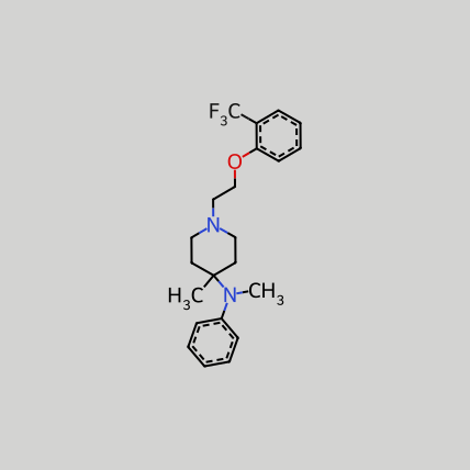 CN(c1ccccc1)C1(C)CCN(CCOc2ccccc2C(F)(F)F)CC1